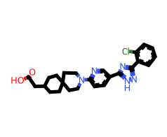 O=C(O)CC1CCC2(CC1)CCN(c1ccc(-c3nc(-c4ccccc4Cl)n[nH]3)cn1)CC2